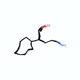 NCCC(C=O)C1CCCCC1